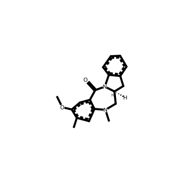 COc1cc2c(cc1C)N(C)C[C@@H]1Cc3ccccc3N1C2=O